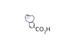 O=C(O)c1ccc2c(c1)CC/C=C/CC2